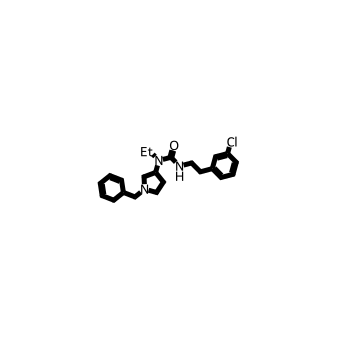 CCN(C(=O)NCCc1cccc(Cl)c1)C1CCN(CC2C=CC=CC2)C1